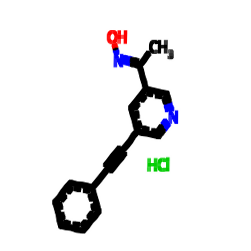 CC(=NO)c1cncc(C#Cc2ccccc2)c1.Cl